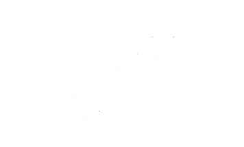 O=C(O)NCCOCCOC1CCCCO1